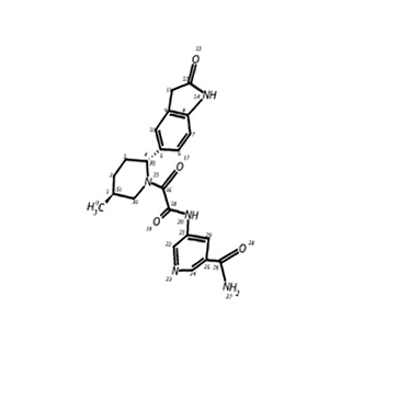 C[C@H]1CC[C@H](c2ccc3c(c2)CC(=O)N3)N(C(=O)C(=O)Nc2cncc(C(N)=O)c2)C1